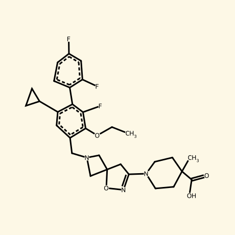 CCOc1c(CN2CC3(CC(N4CCC(C)(C(=O)O)CC4)=NO3)C2)cc(C2CC2)c(-c2ccc(F)cc2F)c1F